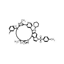 Cc1ccc(S(=O)(=O)n2ccc3c4c(c(F)cc32)C(OC2CCCCO2)c2ccnc(c2)-c2nc(nn2C)[C@@](C)(c2cccc(I)c2)CCCCC(C)(C)c2cn(nn2)C4)cc1